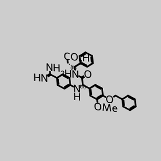 COc1cc([C@H](Nc2ccc(C(=N)N)cc2)C(=O)N[C@H](CC(=O)O)c2ccccc2)ccc1OCc1ccccc1